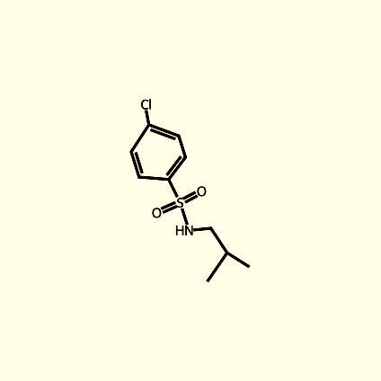 CC(C)CNS(=O)(=O)c1ccc(Cl)cc1